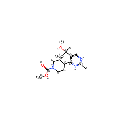 CCOC(C)(OC)c1cnc(C)nc1C1CCN(C(=O)OC(C)(C)C)CC1